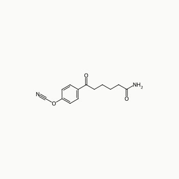 N#COc1ccc(C(=O)CCCCC(N)=O)cc1